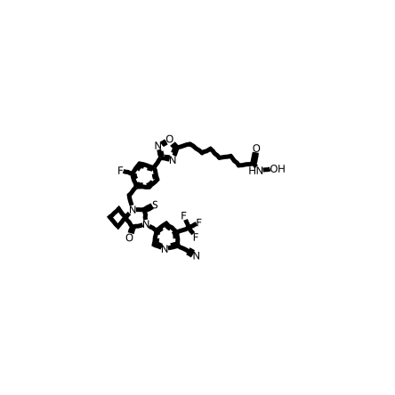 N#Cc1ncc(N2C(=O)C3(CCC3)N(Cc3ccc(-c4noc(CCCCCCC(=O)NO)n4)cc3F)C2=S)cc1C(F)(F)F